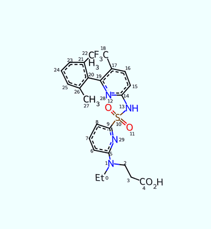 CCN(CCC(=O)O)c1cccc(S(=O)(=O)Nc2ccc(C(F)(F)F)c(-c3c(C)cccc3C)n2)n1